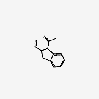 C=CC1Cc2ccccc2C1C(C)=O